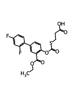 CCOC(=O)c1cc(-c2ccc(F)cc2F)ccc1OC(=O)SCCC(=O)O